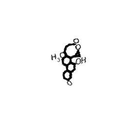 CC12CCCC(=O)OC3CC3C1C1C(O)CC3=CC(=O)CCC3C1CC2